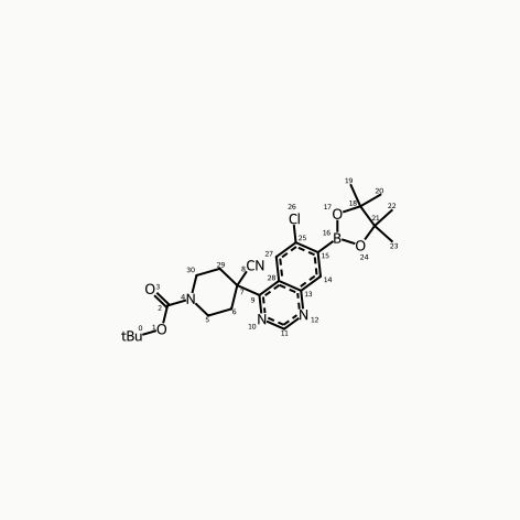 CC(C)(C)OC(=O)N1CCC(C#N)(c2ncnc3cc(B4OC(C)(C)C(C)(C)O4)c(Cl)cc23)CC1